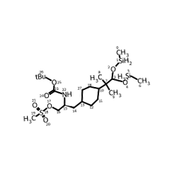 C[SiH2]OC(O[SiH2]C)C(C)(C)C1CCC(C[C@@H](COS(C)(=O)=O)NC(=O)OC(C)(C)C)CC1